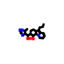 CCCc1c2c(n3ccccc13)C(=O)C(C(O)c1nc[nH]c1C)CC2